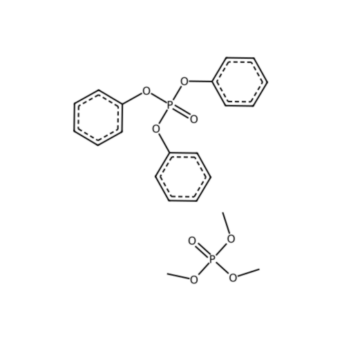 COP(=O)(OC)OC.O=P(Oc1ccccc1)(Oc1ccccc1)Oc1ccccc1